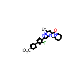 CCc1cc(C(=O)N2CCCCC[C@H]2C)nc2cc(-c3ccc(C4CC=C(C(=O)O)CC4)cc3F)nn12